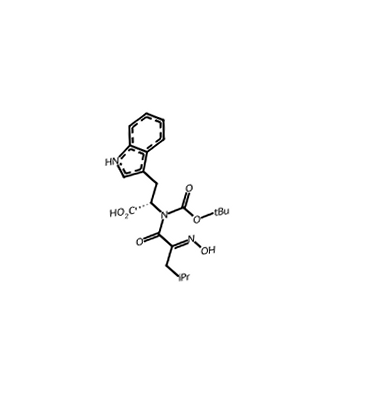 CC(C)CC(=NO)C(=O)N(C(=O)OC(C)(C)C)[C@@H](Cc1c[nH]c2ccccc12)C(=O)O